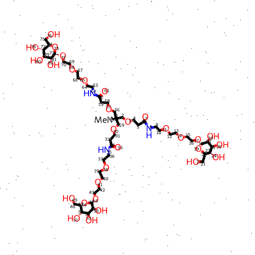 CNC(COCCC(=O)NCCOCCOCCO[C@H]1OC(CO)[C@@H](O)C(O)C1O)(COCCC(=O)NCCOCCOCCO[C@H]1OC(CO)[C@@H](O)C(O)C1O)COCCC(=O)NCCOCCOCCO[C@H]1OC(CO)[C@@H](O)C(O)[C@H]1O